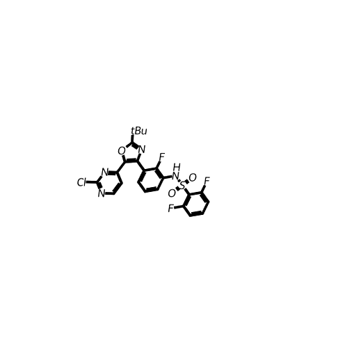 CC(C)(C)c1nc(-c2cccc(NS(=O)(=O)c3c(F)cccc3F)c2F)c(-c2ccnc(Cl)n2)o1